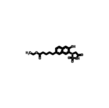 CCOC(=O)CCCCc1ccc2cc(O)c(N3CC(=O)NS3(=O)=O)cc2c1